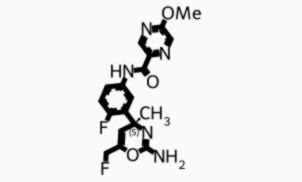 COc1cnc(C(=O)Nc2ccc(F)c([C@]3(C)C=C(CF)OC(N)=N3)c2)cn1